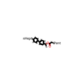 CCCCCCCc1ccc(-c2ccc(C(C)OC(=O)CC(C)CCC)cc2)cc1